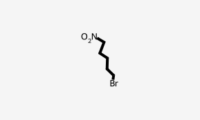 O=[N+]([O-])CCCCCBr